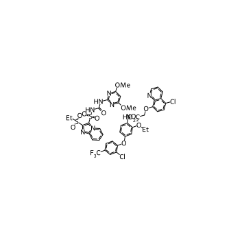 CCOc1cc(Oc2ccc(C(F)(F)F)cc2Cl)ccc1[N+](=O)[O-].CCS(=O)(=O)c1nc2ccccn2c1S(=O)(=O)NC(=O)Nc1nc(OC)cc(OC)n1.O=C(O)COc1ccc(Cl)c2cccnc12